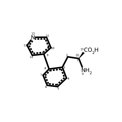 N[C@@H](Cc1ccccc1-c1ccncc1)C(=O)O